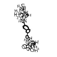 COC(=O)N[C@H](C(=O)N1[C@@H]2C[C@@H]2C[C@H]1c1nc(-c2ccc3cc(-c4ccc5[nH]c([C@@H]6C[C@H]7C[C@H]7N6C(=O)[C@H](C6CCOCC6)N(C)C(=O)O)nc5c4)ccc3c2)c[nH]1)C(C)C